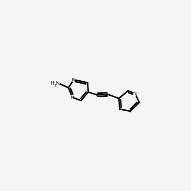 Nc1ncc(C#Cc2c[c]cnc2)cn1